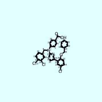 O=C(O)c1ccc(N(Cc2ccc(Cl)c(Cl)c2)c2nc(-c3cc(Cl)ccc3OCc3ccccc3)cs2)cc1